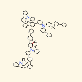 CC1(C)c2cc(-c3ccccc3)ccc2-c2ccc(N(c3cccc(-c4ccccc4)c3)c3cccc(-c4cc(-c5ccc(-c6ccc7c(c6)C(C)(C)c6cc(N(c8cccc(-c9ccc%10c(c9)C9(c%11ccccc%11-%10)c%10ccccc%10-n%10c%11ccccc%11c%11cccc9c%11%10)c8)c8ccccc8-c8ccccc8)ccc6-7)cc5)c5c(c4)C4(c6ccccc6-5)c5ccccc5-n5c6ccccc6c6cccc4c65)c3)cc21